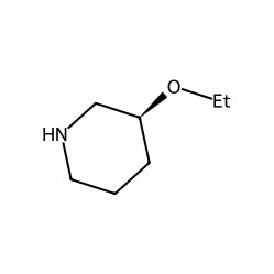 CCO[C@H]1CCCNC1